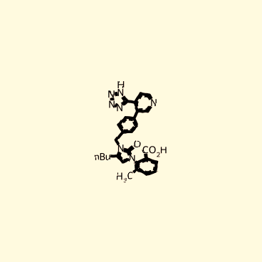 CCCCc1cn(-c2c(C)cccc2C(=O)O)c(=O)n1Cc1ccc(-c2cnccc2-c2nnn[nH]2)cc1